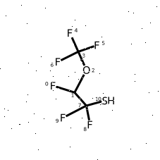 FC(OC(F)(F)F)C(F)(F)S